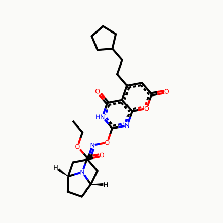 CCOC(=O)N1[C@@H]2CC[C@H]1C/C(=N\Oc1nc3oc(=O)cc(CCC4CCCC4)c3c(=O)[nH]1)C2